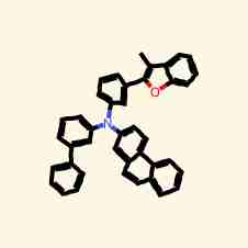 Cc1c(-c2cccc(N(c3cccc(-c4ccccc4)c3)c3ccc4c(ccc5ccccc54)c3)c2)oc2ccccc12